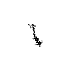 CNC(=O)NCCOCCOCCN1Cc2ccc(C3CN(C)Cc4c(Cl)cc(Cl)cc43)cc2C1=O